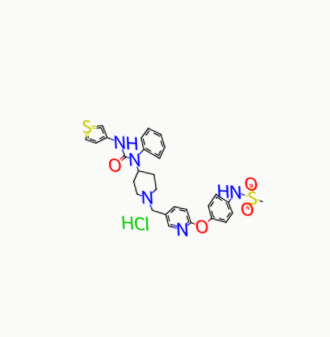 CS(=O)(=O)Nc1ccc(Oc2ccc(CN3CCC(N(C(=O)Nc4ccsc4)c4ccccc4)CC3)cn2)cc1.Cl